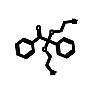 O=C(c1ccccc1)C(OCCBr)(OCCBr)c1ccccc1